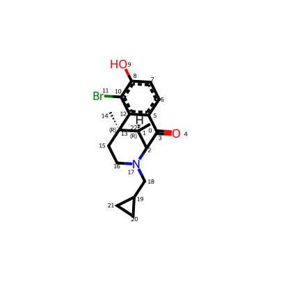 C[C@H]1C2C(=O)c3ccc(O)c(Br)c3[C@]1(C)CCN2CC1CC1